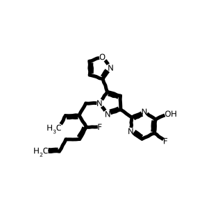 C=CC/C=C(F)\C(=C/C)Cn1nc(-c2ncc(F)c(O)n2)cc1-c1ccon1